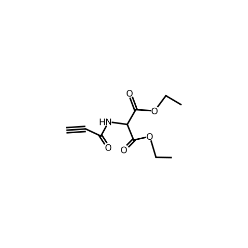 C#CC(=O)NC(C(=O)OCC)C(=O)OCC